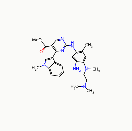 COC(=O)c1cnc(Nc2cc(N)c(N(C)CCN(C)C)cc2C)nc1-c1cn(C)c2ccccc12